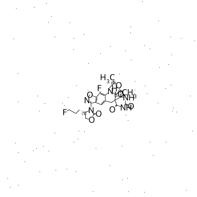 C[C@@H]1CN2c3c(cc4c(N5C(=O)OC[C@@H]5CCCF)noc4c3F)CC3(C(=O)NC(=O)NC3=O)[C@H]2[C@H](C)O1